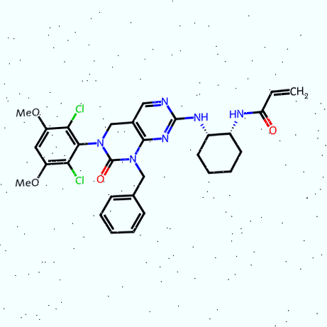 C=CC(=O)N[C@@H]1CCCC[C@@H]1Nc1ncc2c(n1)N(Cc1ccccc1)C(=O)N(c1c(Cl)c(OC)cc(OC)c1Cl)C2